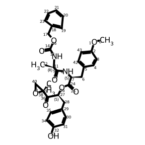 COc1ccc(C[C@H](NC(=O)[C@@H](C)NC(=O)OCc2ccccc2)C(=O)O[C@@H](Cc2ccc(O)cc2)C(=O)[C@@]2(C)CO2)cc1